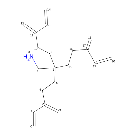 C=CC(=C)CCC(CN)(CCC(=C)C=C)CCC(=C)C=C